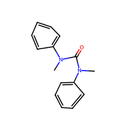 CN(C(=O)N(C)c1ccccc1)c1ccccc1